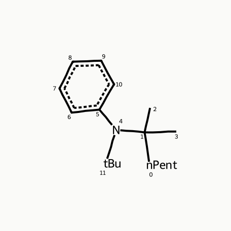 CCCCCC(C)(C)N(c1ccccc1)C(C)(C)C